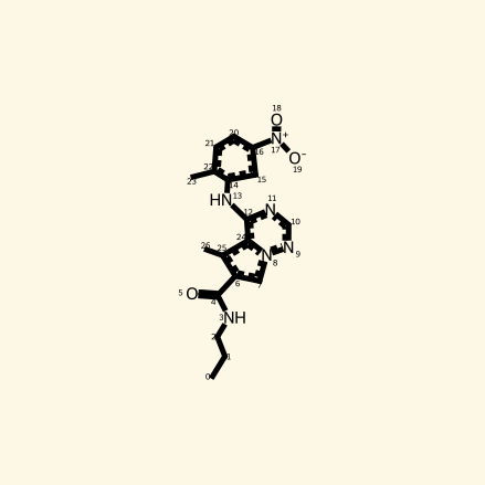 CCCNC(=O)c1cn2ncnc(Nc3cc([N+](=O)[O-])ccc3C)c2c1C